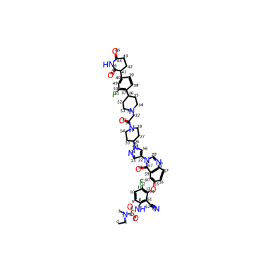 CCN(C)S(=O)(=O)Nc1ccc(F)c(Oc2ccc3ncn(-c4cnn(C5CCN(C(=O)CN6CCC(c7ccc(C8CCC(=O)NC8=O)cc7F)CC6)CC5)c4)c(=O)c3c2)c1C#N